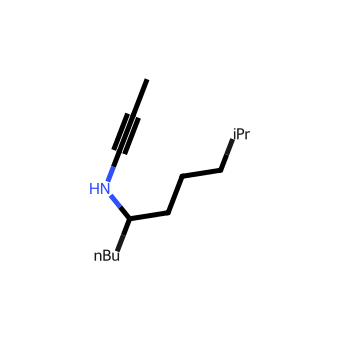 CC#CNC(CCCC)CCCC(C)C